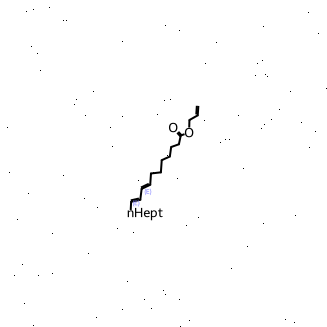 C=CCOC(=O)CCCCCC/C=C/C=C/CCCCCCC